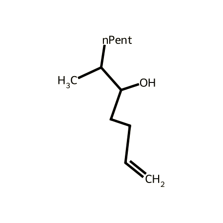 C=CCCC(O)C(C)CCCCC